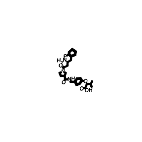 CC(C)[C@H](Oc1ccc(CNC(=O)C2CCN(C(=O)C[C@H](N)Cc3ccccc3F)C2)cc1)C(=O)O